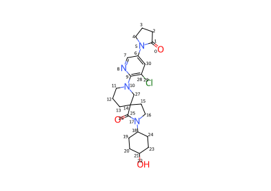 O=C1CCCN1c1cnc(N2CCCC3(CCN(C4CCC(O)CC4)C3=O)C2)c(Cl)c1